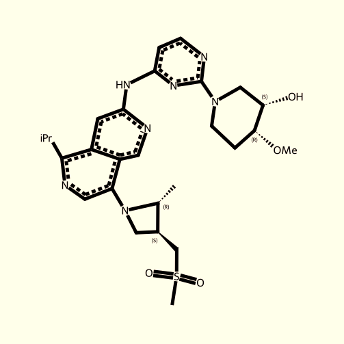 CO[C@@H]1CCN(c2nccc(Nc3cc4c(C(C)C)ncc(N5C[C@H](CS(C)(=O)=O)[C@H]5C)c4cn3)n2)C[C@@H]1O